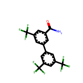 NC(=O)c1cc(-c2cc(C(F)(F)F)cc(C(F)(F)F)c2)cc(C(F)(F)F)c1